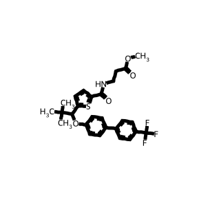 COC(=O)CCNC(=O)c1ccc(C(Oc2ccc(-c3ccc(C(F)(F)F)cc3)cc2)C(C)(C)C)s1